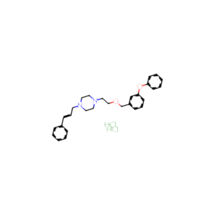 C(=Cc1ccccc1)CN1CCN(CCOCc2cccc(Oc3ccccc3)c2)CC1.Cl.Cl